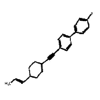 C/C=C/C1CCC(C#Cc2ccc(-c3ccc(F)cc3)cc2)CC1